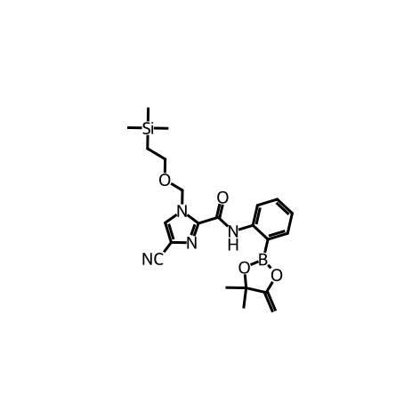 C=C1OB(c2ccccc2NC(=O)c2nc(C#N)cn2COCC[Si](C)(C)C)OC1(C)C